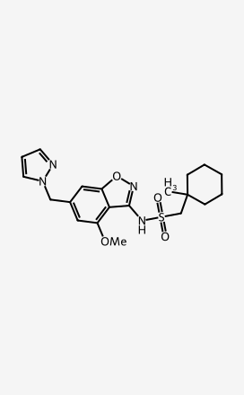 COc1cc(Cn2cccn2)cc2onc(NS(=O)(=O)CC3(C)CCCCC3)c12